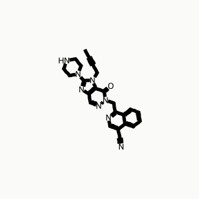 CC#CCn1c(N2CCNCC2)nc2cnn(Cc3ncc(C#N)c4ccccc34)c(=O)c21